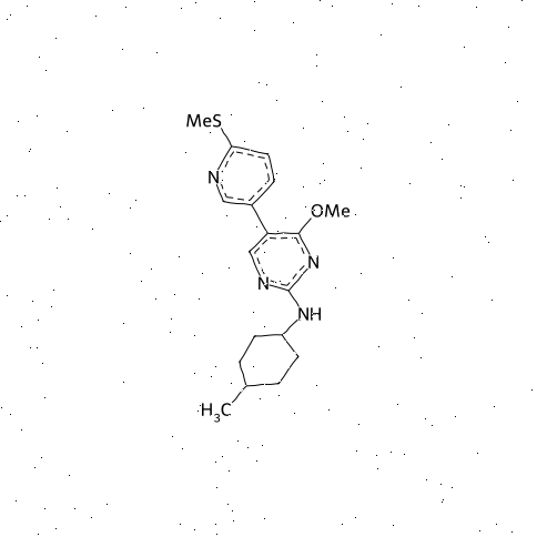 COc1nc(NC2CCC(C)CC2)ncc1-c1ccc(SC)nc1